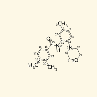 Cc1ccc(N2CCOCC2)c(NC(=O)c2ccc(C)c(C)c2)c1